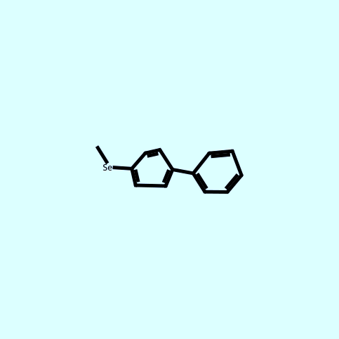 C[Se]c1ccc(-c2ccccc2)cc1